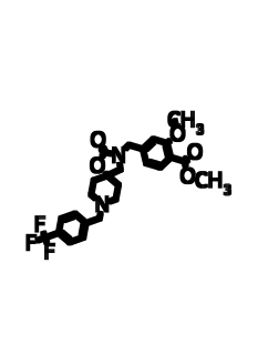 COC(=O)c1ccc(CN2CC3(CCN(Cc4ccc(C(F)(F)F)cc4)CC3)OC2=O)cc1OC